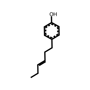 CCC=CCCc1ccc(O)cc1